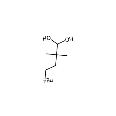 CCCCCCC(C)(C)C(O)O